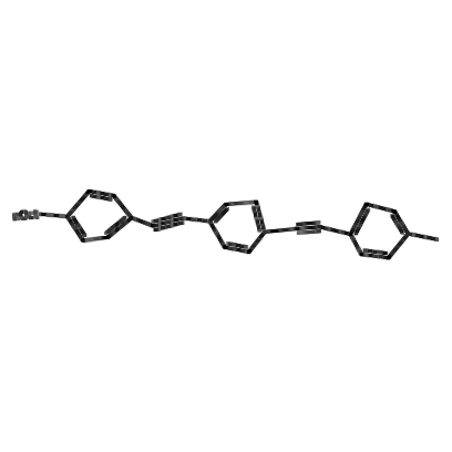 CCCCCCCCc1ccc(C#Cc2ccc(C#Cc3ccc(C)cc3)cc2)cc1